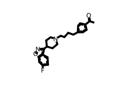 CC(=O)c1ccc(CCCCN2CCC(c3noc4cc(F)ccc34)CC2)cc1